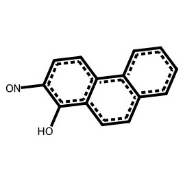 O=Nc1ccc2c(ccc3ccccc32)c1O